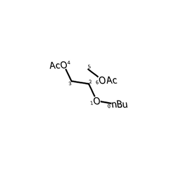 CCCCOCCOC(C)=O.COC(C)=O